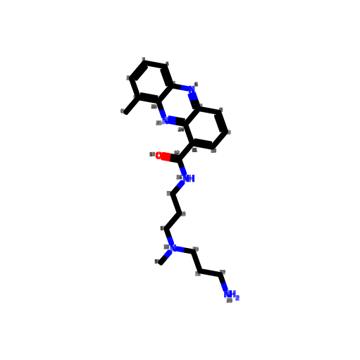 Cc1cccc2nc3cccc(C(=O)NCCCN(C)CCCN)c3nc12